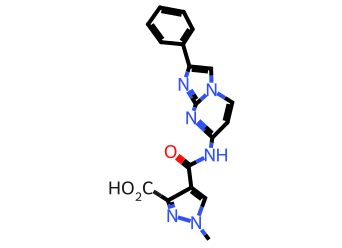 Cn1cc(C(=O)Nc2ccn3cc(-c4ccccc4)nc3n2)c(C(=O)O)n1